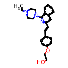 CCN1CCN(c2nc(C=Cc3ccc(OCCO)cc3)cc3ccccc23)CC1